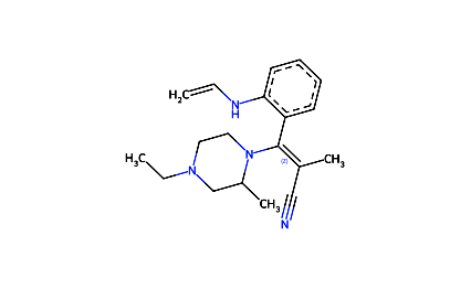 C=CNc1ccccc1/C(=C(\C)C#N)N1CCN(CC)CC1C